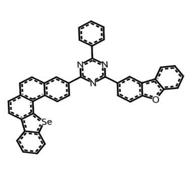 c1ccc(-c2nc(-c3ccc4c(ccc5ccc6c7ccccc7[se]c6c54)c3)nc(-c3ccc4oc5ccccc5c4c3)n2)cc1